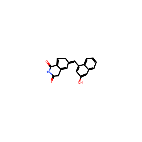 O=C1CC2=CC(=Cc3cc(O)cc4ccccc34)CC=C2C(=O)N1